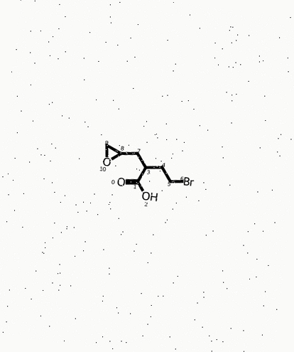 O=C(O)C(CCBr)CC1CO1